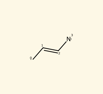 [CH2]C=C[N]